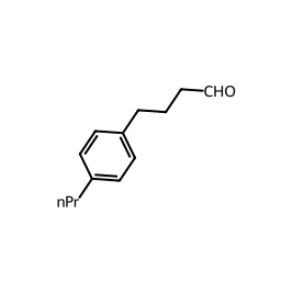 CCCc1ccc(CCCC=O)cc1